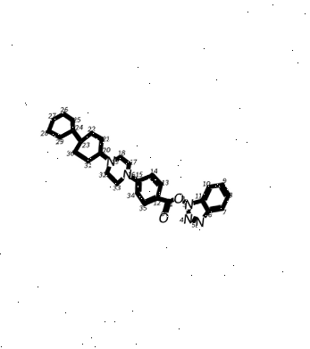 O=C(On1nnc2ccccc21)c1ccc(N2CCN(C3CCC(C4CCCCC4)CC3)CC2)cc1